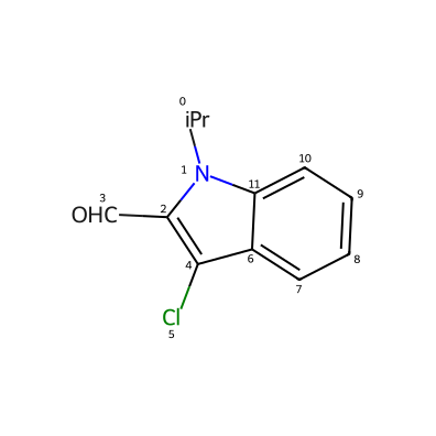 CC(C)n1c(C=O)c(Cl)c2ccccc21